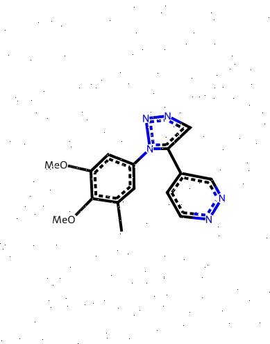 COc1cc(-n2nncc2-c2ccnnc2)cc(C)c1OC